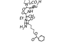 CC[C@H](C)[C@H](NC(=O)[C@](C)(CC)NC(=O)[C@@H](N)CCCCOC(=O)c1ccccc1)C(=O)N1CCC[C@@H]1C(=O)O